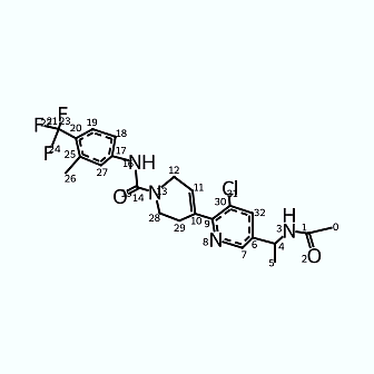 CC(=O)NC(C)c1cnc(C2=CCN(C(=O)Nc3ccc(C(F)(F)F)c(C)c3)CC2)c(Cl)c1